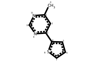 Cc1cc(-c2cccs2)n[c]n1